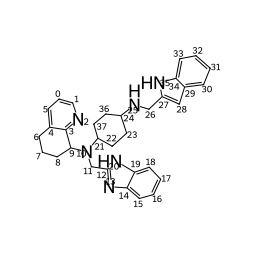 c1cnc2c(c1)CCCC2N(Cc1nc2ccccc2[nH]1)C1CCC(NCc2cc3ccccc3[nH]2)CC1